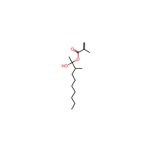 C=C(C)C(=O)OC(C)(O)C(C)CCCCCCC